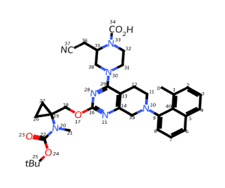 Cc1cccc2cccc(N3CCc4c(nc(OCC5(N(C)C(=O)OC(C)(C)C)CC5)nc4N4CCN(C(=O)O)C(CC#N)C4)C3)c12